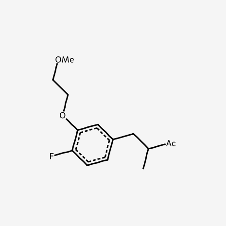 COCCOc1cc(CC(C)C(C)=O)ccc1F